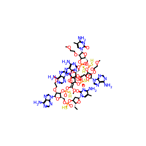 CC[C@H]1O[C@@H](n2cc(C)c(N)nc2=O)CC1OP(=O)(S)OC[C@H]1O[C@@H](n2cnc3c(N)ncnc32)[C@@H](OCCOC)C1OP(=O)(S)OC[C@H]1O[C@@H](n2cnc3c(N)ncnc32)[C@@H](OCCOC)C1OP(=O)(S)OC[C@H]1O[C@@H](n2cnc3c(N)ncnc32)[C@@H](OCCOC)C1OP(=O)(S)OC[C@H]1O[C@@H](n2cc(C)c(N)nc2=O)[C@@H](OCCOC)C1OP(=O)(S)OC[C@H]1O[C@@H](n2cnc3c(N)ncnc32)[C@@H](OCCOC)C1O